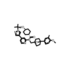 COc1ccc(C23CCC(CN(c4cc(-c5cnn(C(C)(C)C)c5)ccn4)C(=O)[C@H]4CC[C@H](O)CC4)(CC2)CC3)cc1C